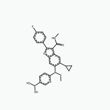 CNC(=O)c1c(-c2ccc(F)cc2)oc2cc(N(SC)c3ccc(B(O)O)cn3)c(C3CC3)cc12